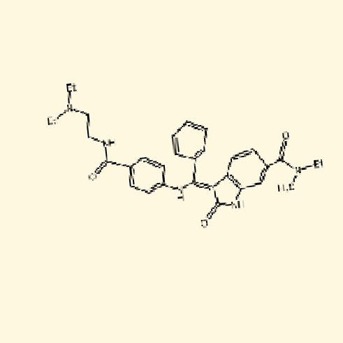 CCN(CC)CCNC(=O)c1ccc(N/C(=C2\C(=O)Nc3cc(C(=O)N(C)CC)ccc32)c2ccccc2)cc1